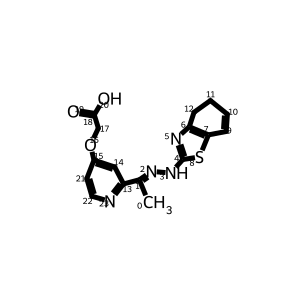 C/C(=N\Nc1nc2c(s1)C=CCC2)c1cc(OCC(=O)O)ccn1